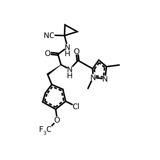 Cc1cc(C(=O)N[C@@H](Cc2ccc(OC(F)(F)F)c(Cl)c2)C(=O)NC2(C#N)CC2)n(C)n1